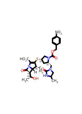 CC1CN(C[C@@H]2C[C@H](SC3=C(C(=O)O)N4C(=O)[C@H]([C@@H](C)O)[C@H]4[C@H]3C)CN2C(=O)OCc2ccc([N+](=O)[O-])cc2)C(=O)N1